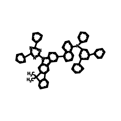 CC1(C)c2ccccc2-c2cc3c4cc(-c5cccc6c(N(c7ccccc7)c7cc(-c8ccccc8)cc(-c8ccccc8)c7)cccc56)ccc4n(-c4nc(-c5ccccc5)nc(-c5ccccc5)n4)c3cc21